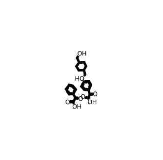 O=C(O)C(=O)c1ccccc1.O=C(O)C(=O)c1ccccc1.OCC1CCC(CO)CC1